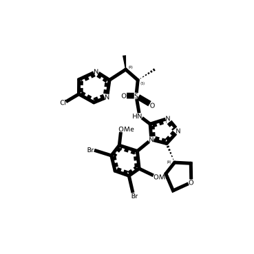 COc1c(Br)cc(Br)c(OC)c1-n1c(NS(=O)(=O)[C@@H](C)[C@H](C)c2ncc(Cl)cn2)nnc1[C@H]1CCOC1